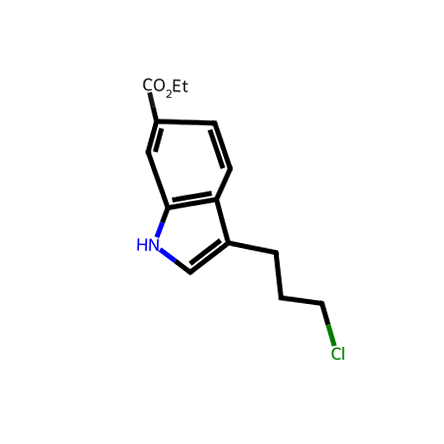 CCOC(=O)c1ccc2c(CCCCl)c[nH]c2c1